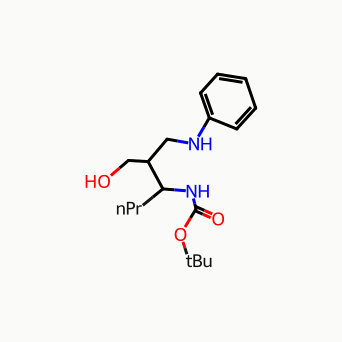 CCCC(NC(=O)OC(C)(C)C)C(CO)CNc1ccccc1